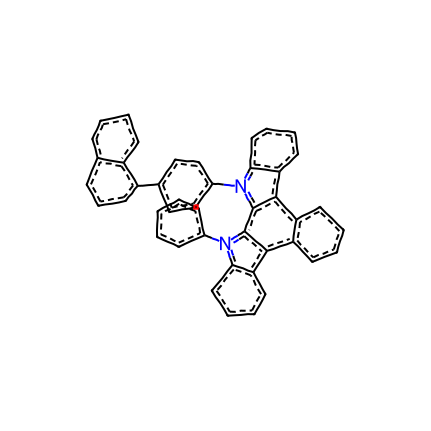 c1ccc(-n2c3ccccc3c3c4ccccc4c4c5ccccc5n(-c5ccc(-c6cccc7ccccc67)cc5)c4c32)cc1